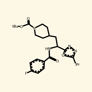 CC(C)c1nnc(C(CC2CCN(C(=O)OC(C)(C)C)CC2)NC(=O)c2ccc(F)cc2)o1